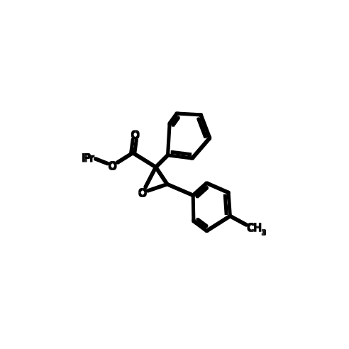 Cc1ccc(C2OC2(C(=O)OC(C)C)c2ccccc2)cc1